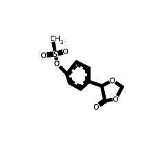 CS(=O)(=O)Oc1ccc(C2OCOC2=O)cc1